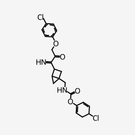 N=C(C(=O)COc1ccc(Cl)cc1)C1CC2(CNC(=O)OC3=CCC(Cl)C=C3)CC12